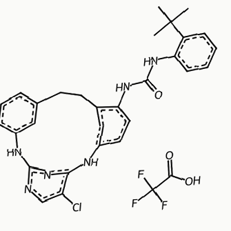 CC(C)(C)c1ccccc1NC(=O)Nc1ccc2cc1CCc1cccc(c1)Nc1ncc(Cl)c(n1)N2.O=C(O)C(F)(F)F